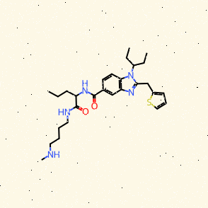 CCCC(NC(=O)c1ccc2c(c1)nc(Cc1cccs1)n2C(CC)CC)C(=O)NCCCCNC